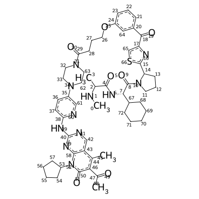 CNC(C)C(=O)N[C@H](C(=O)N1CCCC1c1nc(C(=O)c2cccc(OCCCC(=O)N3CCN(c4ccc(Nc5ncc6c(C)c(C(C)=O)c(=O)n(C7CCCC7)c6n5)nc4)CC3)c2)cs1)C1CCCCC1